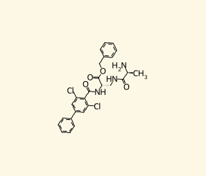 C[C@H](N)C(=O)NC[C@H](NC(=O)c1c(Cl)cc(-c2ccccc2)cc1Cl)C(=O)OCc1ccccc1